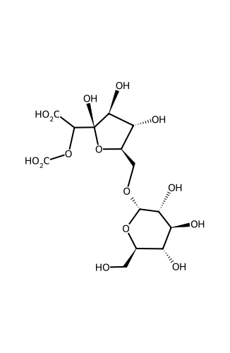 O=C(O)OC(C(=O)O)[C@@]1(O)O[C@H](CO[C@H]2O[C@H](CO)[C@@H](O)[C@H](O)[C@H]2O)[C@@H](O)[C@@H]1O